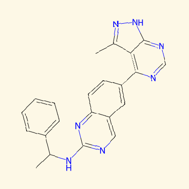 Cc1n[nH]c2ncnc(-c3ccc4nc(NC(C)c5ccccc5)ncc4c3)c12